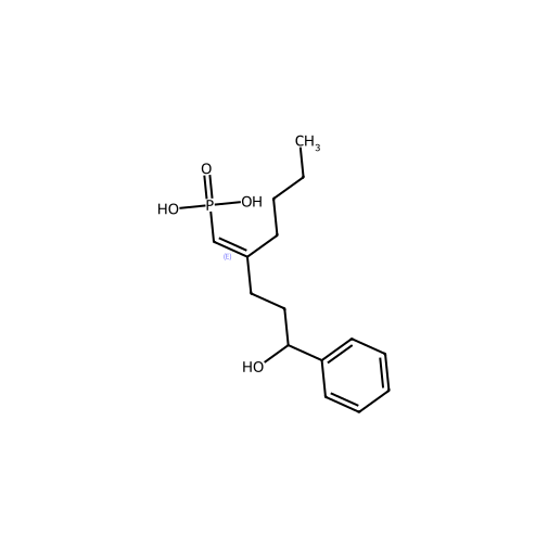 CCCC/C(=C\P(=O)(O)O)CCC(O)c1ccccc1